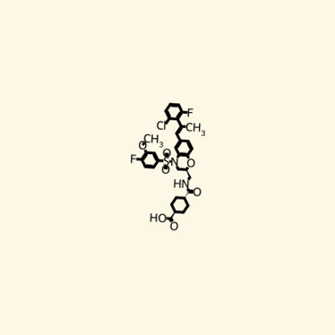 COc1cc(S(=O)(=O)N2C[C@H](CNC(=O)[C@H]3CC[C@H](C(=O)O)CC3)Oc3ccc(/C=C(\C)c4c(F)cccc4Cl)cc32)ccc1F